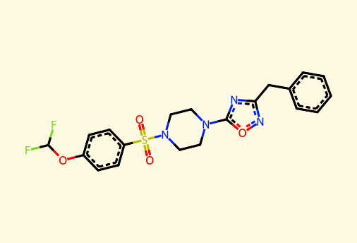 O=S(=O)(c1ccc(OC(F)F)cc1)N1CCN(c2nc(Cc3ccccc3)no2)CC1